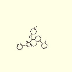 Cc1ccccc1-c1cccc2c1CCn1cc(-c3ccccc3)nc1C2OC1CCN(C)CC1